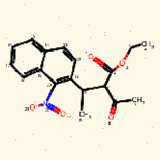 CCOC(=O)C(C(C)=O)C(C)c1ccc2ccccc2c1[N+](=O)[O-]